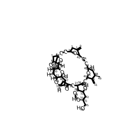 C=C1CC2CC[C@@]34CC5O[C@H]6[C@@H](O3)[C@H]3O[C@H](CC[C@@H]3O[C@H]6[C@H]5O4)CC(=O)CC3[C@@H](OC)C(C[C@H](O)CO)O[C@H]3CC3O[C@@H](CCC1O2)C[C@@H](C)C3=C